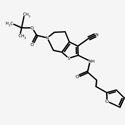 CC(C)(C)OC(=O)N1CCc2c(sc(NC(=O)CCc3ccco3)c2C#N)C1